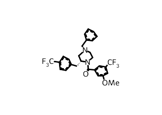 COc1cc(C(=O)N2CCN(Cc3ccccc3)C[C@H]2Cc2ccc(C(F)(F)F)cc2)cc(C(F)(F)F)c1